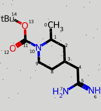 CC1CC(CC(=N)N)CCN1C(=O)OC(C)(C)C